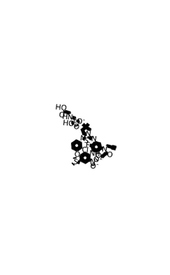 C#CCN1C(=O)COc2cc(F)c(/N=c3\snc4n3CC(C)(C)C4)cc21.C[S+](C)C.Nc1c([N+](=O)[O-])ccc(Oc2ccccc2)c1Cl.O=C(O)CNCP(=O)([O-])O